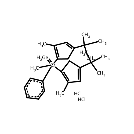 CC1=[C]([Zr]([CH3])(=[GeH2])([C]2=C(C)C=C(C(C)(C)C)C2)[c]2ccccc2)CC(C(C)(C)C)=C1.Cl.Cl